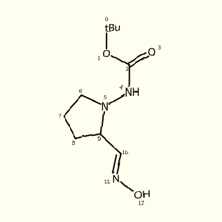 CC(C)(C)OC(=O)NN1CCCC1C=NO